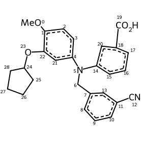 COc1ccc(N(Cc2cccc(C#N)c2)c2cccc(C(=O)O)c2)cc1OC1CCCC1